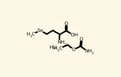 CCOC(N)=O.C[Se]CCC(N)C(=O)O.[LiH]